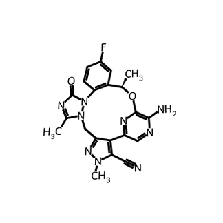 Cc1nc(=O)n2n1Cc1nn(C)c(C#N)c1-c1cnc(N)c(n1)O[C@H](C)c1cc(F)ccc1-2